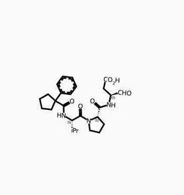 CC(C)[C@H](NC(=O)C1(c2ccccc2)CCCC1)C(=O)N1CCC[C@H]1C(=O)N[C@H](C=O)CC(=O)O